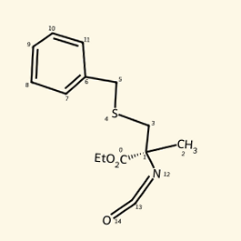 CCOC(=O)[C@@](C)(CSCc1ccccc1)N=C=O